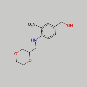 O=[N+]([O-])c1cc(CO)ccc1NCC1COCCO1